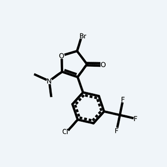 CN(C)C1=C(c2cc(Cl)cc(C(F)(F)F)c2)C(=O)C(Br)O1